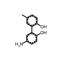 Cc1ccc(O)c(-c2cc(N)ccc2O)c1